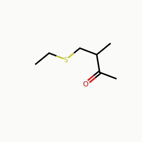 CCSCC(C)C(C)=O